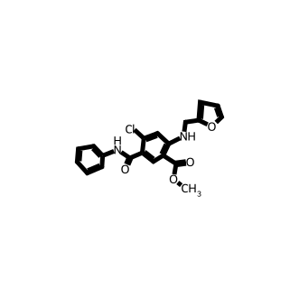 COC(=O)c1cc(C(=O)Nc2ccccc2)c(Cl)cc1NCc1ccco1